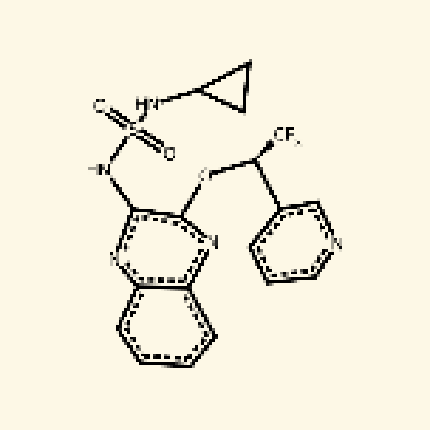 O=S(=O)(Nc1nc2ccccc2nc1O[C@H](c1cccnc1)C(F)(F)F)NC1CC1